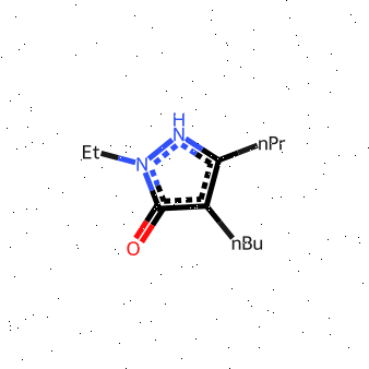 CCCCc1c(CCC)[nH]n(CC)c1=O